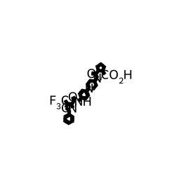 CN(C(=O)C1CCCC1C(=O)O)C1CCN(c2ccc(NC(=O)c3nc(-c4ccccc4)oc3C(F)(F)F)cc2)CC1